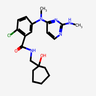 CNc1nccc(N(C)c2ccc(Cl)c(C(=O)NCC3(O)CCCCC3)c2)n1